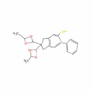 CC1OC(C2(C3OC(C)O3)Cc3cc(S)c(-c4ccccc4)cc3C2)O1